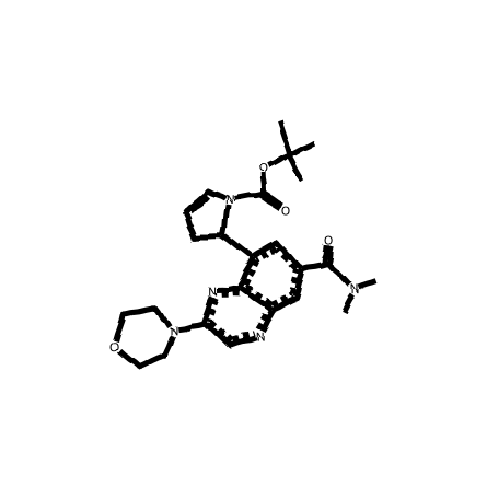 CN(C)C(=O)c1cc(C2CC=CN2C(=O)OC(C)(C)C)c2nc(N3CCOCC3)cnc2c1